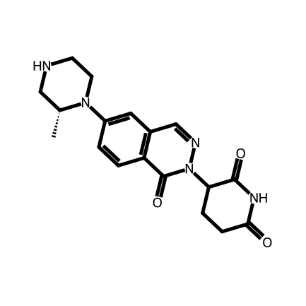 C[C@@H]1CNCCN1c1ccc2c(=O)n(C3CCC(=O)NC3=O)ncc2c1